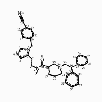 CN(CCc1cncn1Cc1ccc(C#N)cc1)C(=O)C1CCCN(CC(c2ccccc2)c2ccccc2)C1